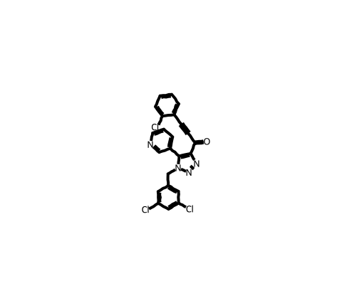 O=C(C#Cc1ccccc1Cl)c1nnn(Cc2cc(Cl)cc(Cl)c2)c1-c1cccnc1